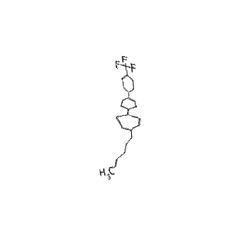 C/C=C/CCCC1CCC(C2CC=C(C3CCC(C(F)(F)F)CC3)CC2)CC1